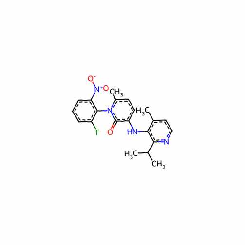 Cc1ccnc(C(C)C)c1Nc1ccc(C)n(-c2c(F)cccc2[N+](=O)[O-])c1=O